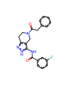 O=C(Nc1[nH]nc2c1CN(C(=O)Cc1ccccc1)CC2)c1cccc(F)c1